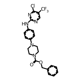 O=C(OCc1ccccc1)N1CCN(c2ccc(Nc3ncc(C(F)(F)F)c(Cl)n3)cc2)CC1